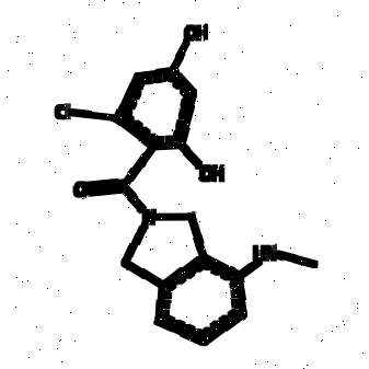 CNc1cccc2c1CN(C(=O)c1c(O)cc(O)cc1Cl)C2